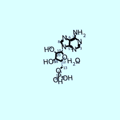 Nc1ncnc2c1ncn2[C@@H]1O[C@H](CO[PH](=O)O)[C@@H](O)[C@H]1O.O